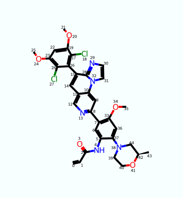 C=CC(=O)Nc1cc(-c2cc3c(cn2)cc(-c2c(Cl)c(OC)cc(OC)c2Cl)c2nccn23)c(OC)cc1N1CCO[C@H](C)C1